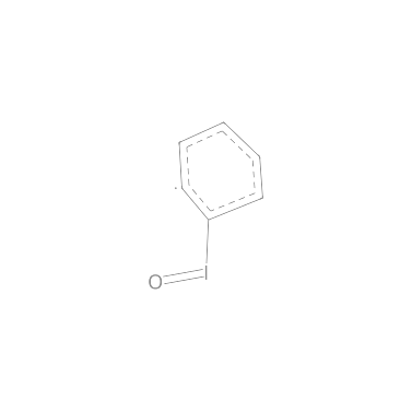 O=Ic1[c]cccc1